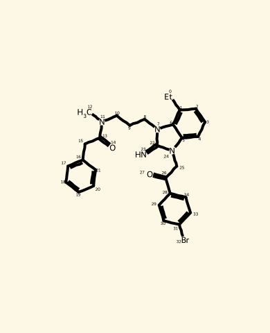 CCc1cccc2c1n(CCCN(C)C(=O)Cc1ccccc1)c(=N)n2CC(=O)c1ccc(Br)cc1